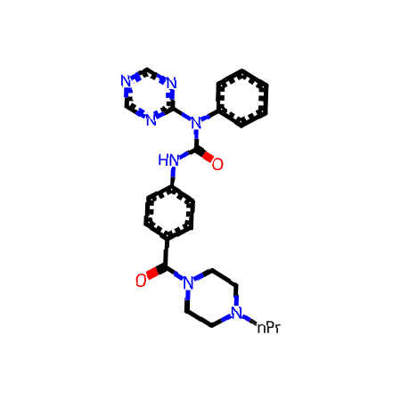 CCCN1CCN(C(=O)c2ccc(NC(=O)N(c3ccccc3)c3ncncn3)cc2)CC1